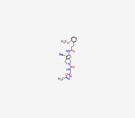 COc1ccccc1CCC(=O)Nc1sc2c(c1C#N)CCN(C(=O)NCc1nnc(C)o1)C2